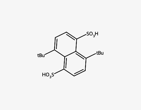 CC(C)(C)c1ccc(S(=O)(=O)O)c2c(C(C)(C)C)ccc(S(=O)(=O)O)c12